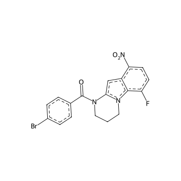 O=C(c1ccc(Br)cc1)N1CCCn2c1cc1c([N+](=O)[O-])ccc(F)c12